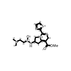 COC(=O)C1=C2CC(N[S+]([O-])CCN(C)C)CN2C(c2nccs2)=NC1